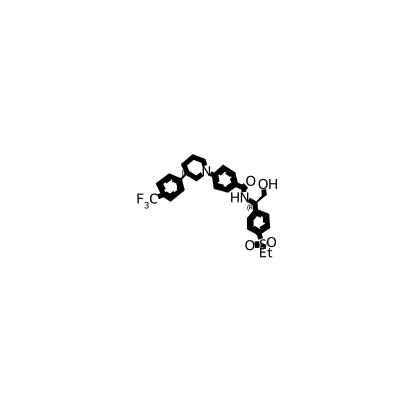 CCS(=O)(=O)c1ccc([C@H](CO)NC(=O)c2ccc(N3CCC[C@H](c4ccc(C(F)(F)F)cc4)C3)cc2)cc1